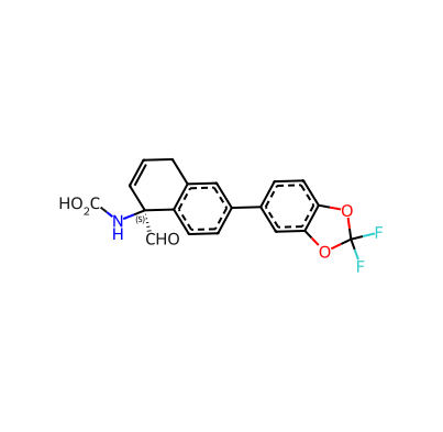 O=C[C@]1(NC(=O)O)C=CCc2cc(-c3ccc4c(c3)OC(F)(F)O4)ccc21